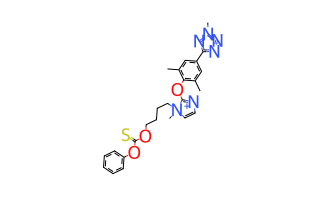 Cc1cc(-c2nnn(C)n2)cc(C)c1OC1=NC=C[N+]1(C)CCCCOC(=S)Oc1ccccc1